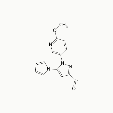 COc1ccc(-n2nc([C]=O)cc2-n2cccc2)cn1